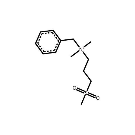 C[N+](C)(CCCS(C)(=O)=O)Cc1ccccc1